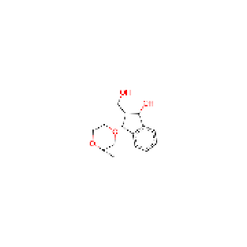 C1COC2CC2O1.OCC1Cc2ccccc2C1O